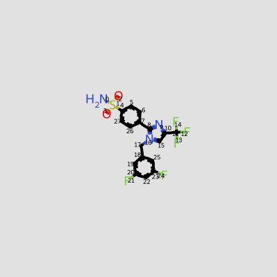 NS(=O)(=O)c1ccc(-c2nc(C(F)(F)F)cn2Cc2cc(F)cc(F)c2)cc1